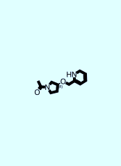 CC(=O)N1CC[C@@H](OCC2=CC=CCN2)C1